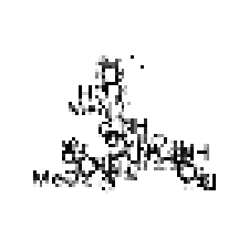 CNC(=O)[C@H](CCCc1ccccc1O)NC(=O)C1CN(C(=O)Cc2c[nH]c3cc(Cl)ccc23)CC2CN(C(=O)c3ccc(OC(C)C)c(OC)c3)CC21